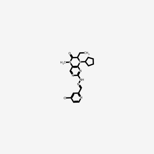 CCC1C(=O)N(C)c2cnc(NN=Cc3cc(Cl)ccn3)nc2N1C1CCCC1